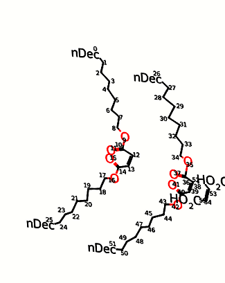 CCCCCCCCCCCCCCCCCCOC(=O)/C=C\C(=O)OCCCCCCCCCCCCCCCCCC.CCCCCCCCCCCCCCCCCCOC(=O)/C=C\C(=O)OCCCCCCCCCCCCCCCCCC.O=C(O)/C=C\C(=O)O